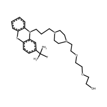 OCCOCCOCCN1CCN(CCCN2c3ccccc3Sc3ccc(C(F)(P)P)cc32)CC1